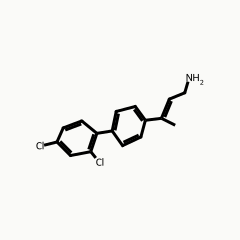 CC(=CCN)c1ccc(-c2ccc(Cl)cc2Cl)cc1